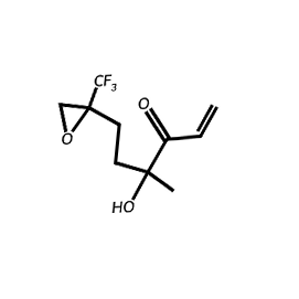 C=CC(=O)C(C)(O)CCC1(C(F)(F)F)CO1